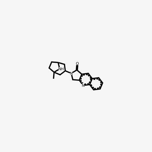 CC12CCC(CC(N3Cc4nc5ccccc5cc4C3=O)C1)N2